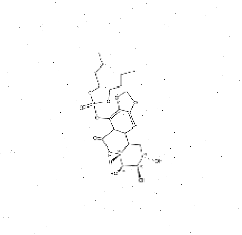 CCCCOP(=O)(OCCCC)OC1=C2OCOC2=CC2C1C(=O)N[C@@H]1C2C[C@H](O)[C@@H](O)[C@H]1O